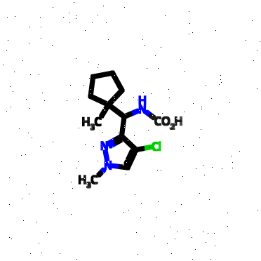 Cn1cc(Cl)c(C(NC(=O)O)C2(C)CCCC2)n1